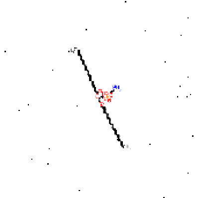 CCCCC/C=C/C/C=C/CCCCCCCC(=O)O[C@H](CO/C=C/CCCCCCCCCCCCCC)COP(=O)(O)OCCN